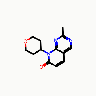 Cc1ncc2ccc(=O)n(C3CCOCC3)c2n1